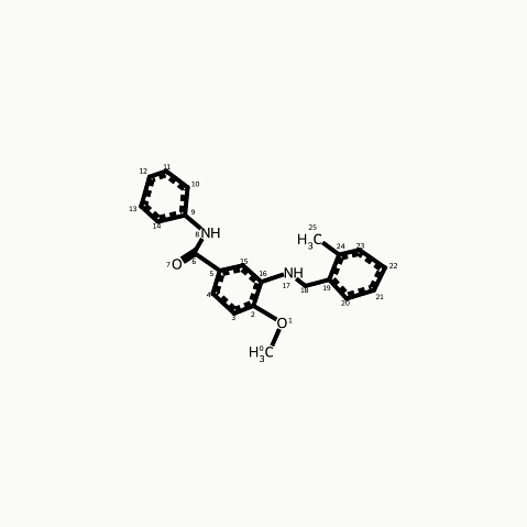 COc1ccc(C(=O)Nc2ccccc2)cc1NCc1ccccc1C